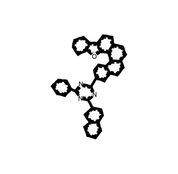 c1ccc(-c2nc(-c3ccc4ccccc4c3)nc(-c3ccc4c(ccc5ccc6ccc7c8ccccc8oc7c6c54)c3)n2)cc1